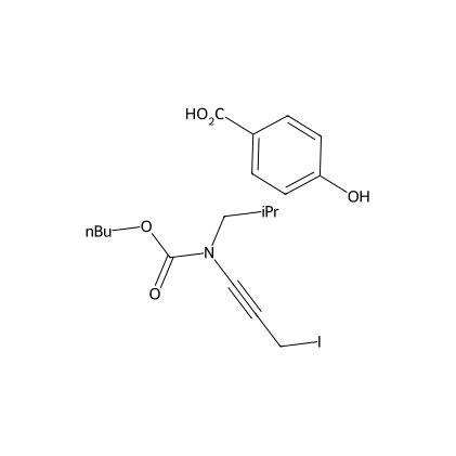 CCCCOC(=O)N(C#CCI)CC(C)C.O=C(O)c1ccc(O)cc1